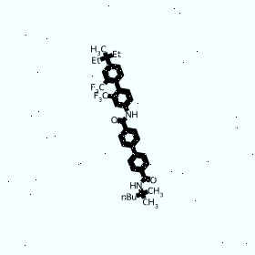 CCCCC(C)(C)NC(=O)c1ccc(-c2ccc(C(=O)Nc3ccc(-c4ccc(C(C)(CC)CC)cc4C(F)(F)F)c(C(F)(F)F)c3)cc2)cc1